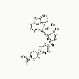 NC(=O)C1(c2ccccc2C#Cc2nc(Nc3ccc(C4CCN(C(=O)O)CC4)nc3)ncc2C(F)(F)F)CC1